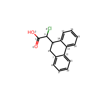 O=C(O)C(Cl)C1Cc2ccccc2-c2ccccc21